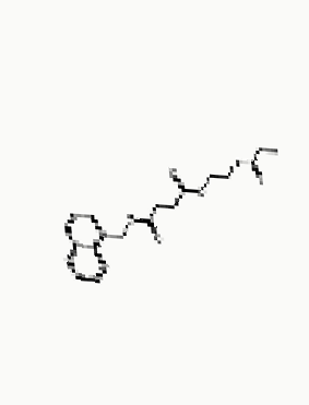 C=CC(=O)OCCOC(=O)CCC(=O)OCc1cccc2ccccc12